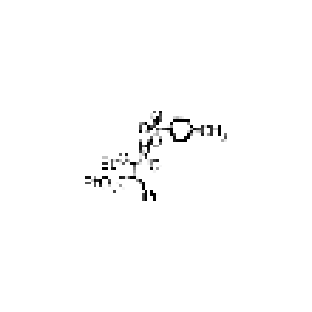 CCOC(=O)C(CC(C)C)C(OCC)[PH](=O)COS(=O)(=O)c1ccc(C)cc1